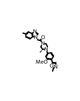 COc1cc(N2CCN(C(=O)Cn3cnc4cc(C)ccc43)C[C@@H]2C)ccc1-c1cnc(C)o1